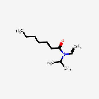 C=CN(C(=O)CCCCCC)C(C)C